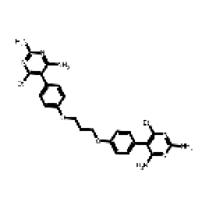 CCc1nc(N)nc(N)c1-c1ccc(OCCCOc2ccc(-c3c(N)nc(N)nc3CC)cc2)cc1